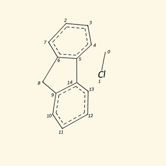 CCl.c1ccc2c(c1)Cc1ccccc1-2